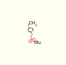 C=Cc1ccc(CCC(=O)OC(C)(C)C)cc1